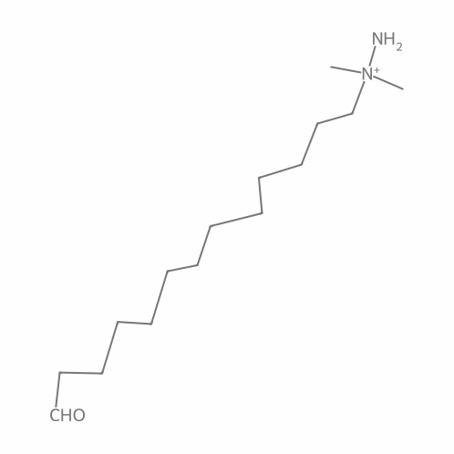 C[N+](C)(N)CCCCCCCCCCCCC=O